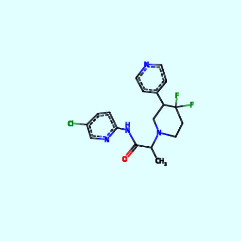 CC(C(=O)Nc1ccc(Cl)cn1)N1CCC(F)(F)C(c2ccncc2)C1